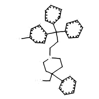 NCC1(c2ccccc2)CCN(CCC(c2ccccc2)(c2ccccc2)c2ccc(F)cc2)CC1